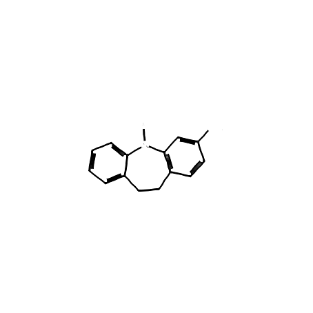 CC(=O)N1c2ccccc2CCc2ccc(C)cc21